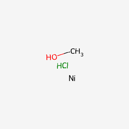 CO.Cl.[Ni]